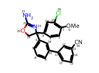 COc1ccc(C2(c3cccc(-c4cccc(C#N)c4)c3)COC(N)=N2)cc1Cl